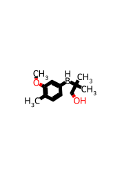 COc1cc(BC(C)(C)CO)ccc1C